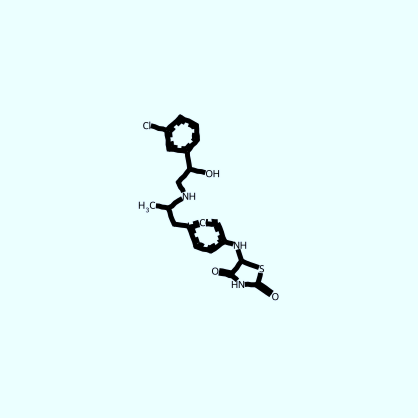 CC(Cc1ccc(NC2SC(=O)NC2=O)cc1)NCC(O)c1cccc(Cl)c1